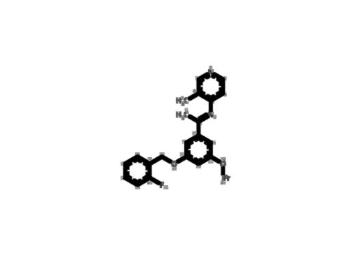 C/C(=N\c1ccncc1C)c1cc(OCc2ccccc2F)cc(OC(C)C)c1